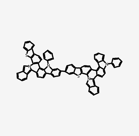 c1ccc(-n2c3ccccc3c3c4c(ccc32)c2c3ccccc3cn2c2c4ccc3c4ccc(-c5ccc6c7ccc8c(c9ccc%10c%11ccccc%11sc%10c9n9cc%10ccccc%10c89)c7n(-c7ccccc7)c6c5)cc4sc32)cc1